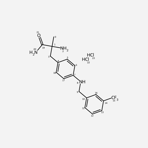 CC(N)(Cc1ccc(NCc2cccc(C(F)(F)F)c2)cc1)C(N)=O.Cl.Cl